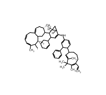 C=C/C1=C(\C)C(C)(C)/C(C)=C/C(C2C=CC(NC3=CC(C4C=CCCC4)C(C4CC5C(=CC[C@@H]4C)C/C=C\C=C(\C)C(I)[C@H]5C)[C@]4(C)C[C@H]34)=CC2c2ccccc2)CCC1